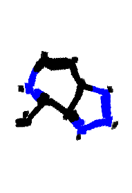 CC(C)(C)C1=NC=CC2N=NN=C12